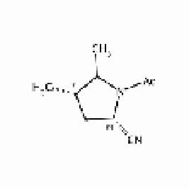 CC(=O)N1C(C)[C@@H](C)C[C@H]1C#N